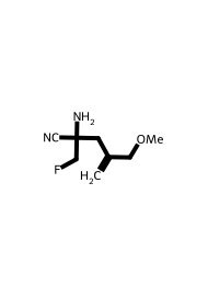 C=C(COC)CC(N)(C#N)CF